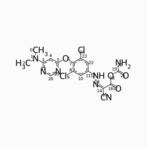 CN(C)c1cc(Oc2c(Cl)cc(NN=C(C#N)C(=O)OC(N)=O)cc2Cl)ncn1